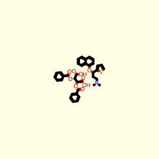 CN(C)CCC(Oc1cccc2ccccc12)c1cccs1.O=C(OC(C(=O)O)[C@H](OC(=O)c1ccccc1)C(=O)O)c1ccccc1